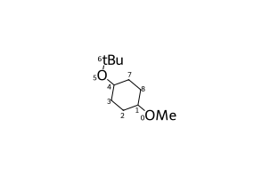 COC1CCC(OC(C)(C)C)CC1